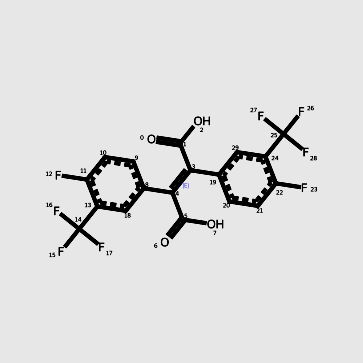 O=C(O)/C(=C(/C(=O)O)c1ccc(F)c(C(F)(F)F)c1)c1ccc(F)c(C(F)(F)F)c1